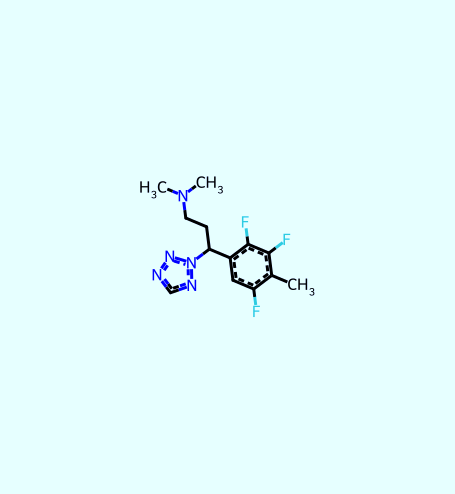 Cc1c(F)cc(C(CCN(C)C)n2ncnn2)c(F)c1F